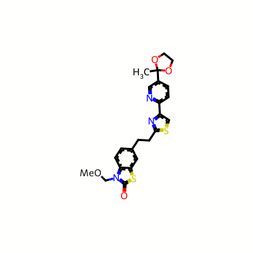 COCn1c(=O)sc2cc(CCc3nc(-c4ccc(C5(C)OCCO5)cn4)cs3)ccc21